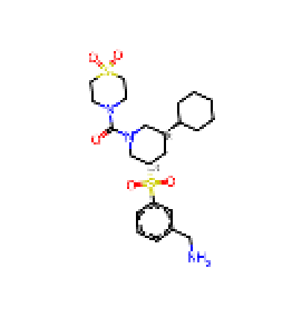 NCc1cccc(S(=O)(=O)[C@H]2C[C@H](C3CCCCC3)CN(C(=O)N3CCS(=O)(=O)CC3)C2)c1